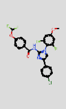 COc1cc(F)c(-n2cc(-c3ccc(Cl)cc3)nc2NC(=O)c2ccc(OC(F)F)cc2)c(F)c1